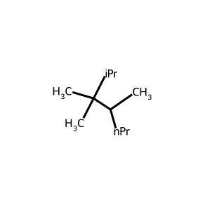 [CH2]C(C)C(C)(C)C(C)CCC